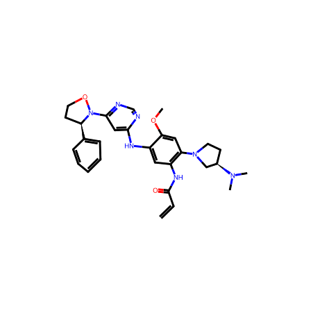 C=CC(=O)Nc1cc(Nc2cc(N3OCC[C@@H]3c3ccccc3)ncn2)c(OC)cc1N1CC[C@@H](N(C)C)C1